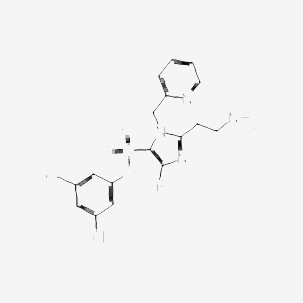 CC(C)c1nc(CCN)n(Cc2ccccn2)c1S(=O)(=O)Oc1cc(Cl)cc(Cl)c1